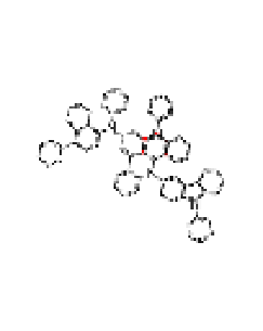 c1ccc(-c2ccc(N(c3ccccc3)c3cc(-c4ccccc4N(c4ccccc4)c4ccc5c(c4)c4ccccc4n5-c4ccccc4)cc(N(c4ccccc4)c4ccccc4)c3)c3ccccc23)cc1